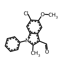 COc1cc2c(C=O)c(C)n(-c3ccccc3)c2cc1Cl